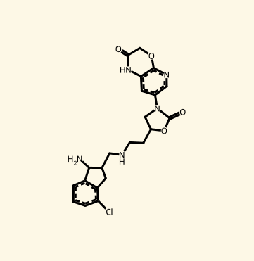 NC1c2cccc(Cl)c2CC1CNCCC1CN(c2cnc3c(c2)NC(=O)CO3)C(=O)O1